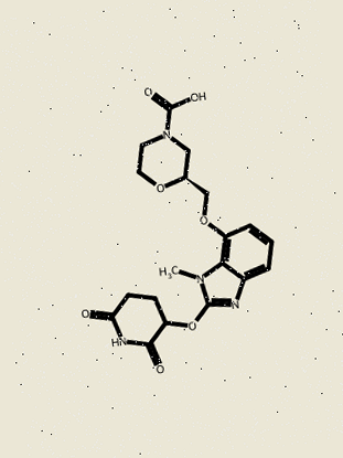 Cn1c(OC2CCC(=O)NC2=O)nc2cccc(OC[C@@H]3CN(C(=O)O)CCO3)c21